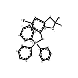 CC1(C)Cc2cc(F)cc(C[PH](c3ccccc3)(c3ccccc3)c3ccccc3)c2O1